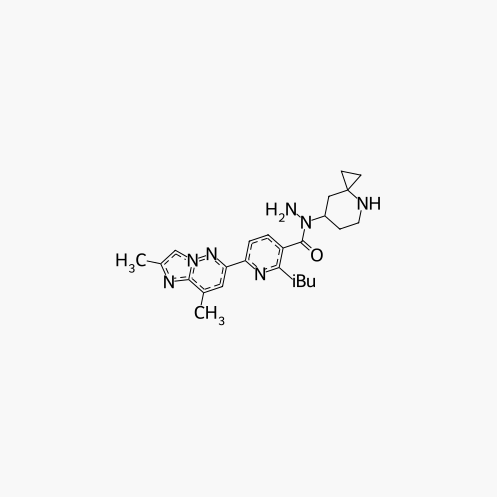 CCC(C)c1nc(-c2cc(C)c3nc(C)cn3n2)ccc1C(=O)N(N)C1CCNC2(CC2)C1